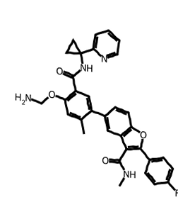 CNC(=O)c1c(-c2ccc(F)cc2)oc2ccc(-c3cc(C(=O)NC4(c5ccccn5)CC4)c(OCN)cc3C)cc12